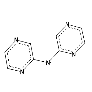 c1cnc([N]c2cnccn2)cn1